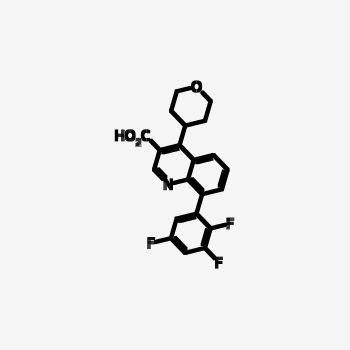 O=C(O)c1cnc2c(-c3cc(F)cc(F)c3F)cccc2c1C1CCOCC1